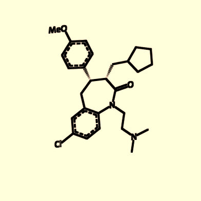 COc1ccc([C@H]2Cc3cc(Cl)ccc3N(CCN(C)C)C(=O)[C@H]2CC2CCCC2)cc1